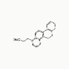 COCCc1cccc2c3c(ccc12)C1=C(CCC=C1)CC3